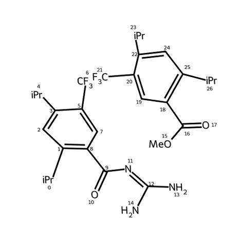 CC(C)c1cc(C(C)C)c(C(F)(F)F)cc1C(=O)N=C(N)N.COC(=O)c1cc(C(F)(F)F)c(C(C)C)cc1C(C)C